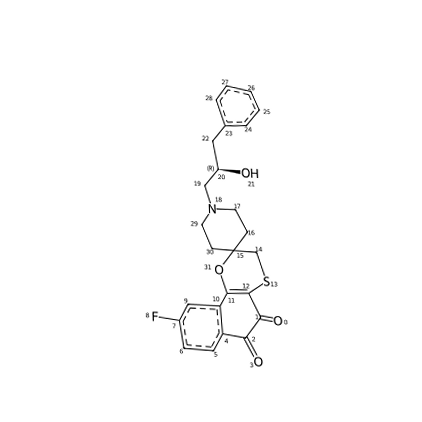 O=C1C(=O)c2ccc(F)cc2C2=C1SCC1(CCN(C[C@H](O)Cc3ccccc3)CC1)O2